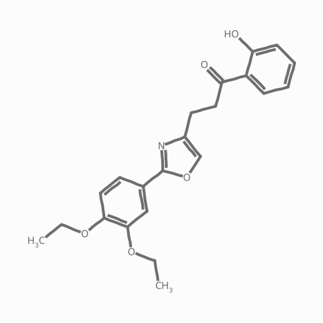 CCOc1ccc(-c2nc(CCC(=O)c3ccccc3O)co2)cc1OCC